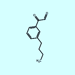 CCCCc1cccc(C(=O)[C]=O)c1